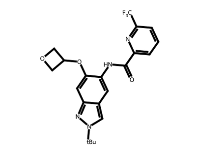 CC(C)(C)n1cc2cc(NC(=O)c3cccc(C(F)(F)F)n3)c(OC3COC3)cc2n1